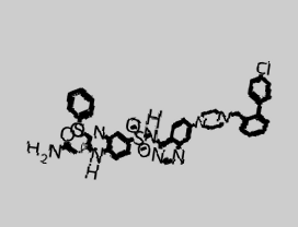 NC(=O)C[C@H](CSc1ccccc1)Nc1ccc(S(=O)(=O)Nc2ncnc3cc(N4CCN(Cc5ccccc5-c5ccc(Cl)cc5)CC4)ccc23)cc1[N+](=O)[O-]